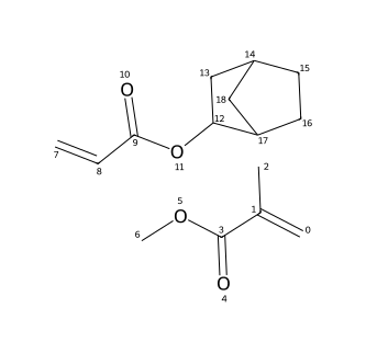 C=C(C)C(=O)OC.C=CC(=O)OC1CC2CCC1C2